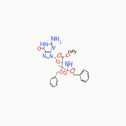 CCCOC(=O)[C@](NC(=O)OCc1ccccc1)(OCn1cnc2c(=O)[nH]c(N)nc21)C(C)(C)OCc1ccccc1